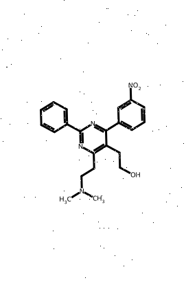 CN(C)CCc1nc(-c2ccccc2)nc(-c2cccc([N+](=O)[O-])c2)c1CCO